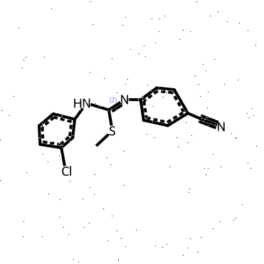 CS/C(=N\c1ccc(C#N)cc1)Nc1cccc(Cl)c1